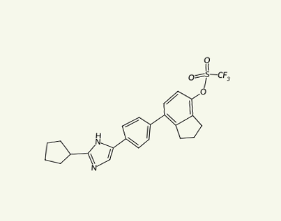 O=S(=O)(Oc1ccc(-c2ccc(-c3cnc(C4CCCC4)[nH]3)cc2)c2c1CCC2)C(F)(F)F